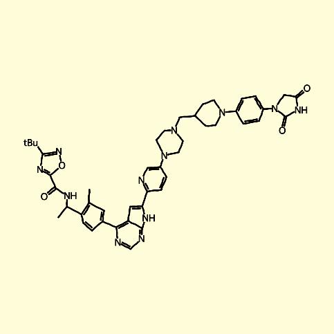 Cc1cc(-c2ncnc3[nH]c(-c4ccc(N5CCN(CC6CCN(c7ccc(N8CC(=O)NC8=O)cc7)CC6)CC5)cn4)cc23)ccc1C(C)NC(=O)c1nc(C(C)(C)C)no1